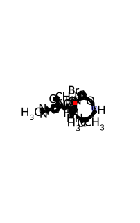 CC(=O)c1nn(CC(=O)N2[C@H]3C[C@@]4(CNC(=O)C(C)(C)CCC/[SH]=C/COCc5ccc(Br)nc5NC3=O)C[C@@H]24)c2ccc(-c3cnc(C)nc3)cc12